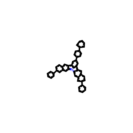 c1ccc(-c2ccc(-c3cc4c5cc6ccc(-c7ccccc7)cc6cc5n5c6cc7cc(-c8ccccc8)ccc7cc6c(c3)c45)cc2)cc1